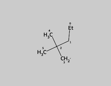 [CH2]CCC([CH2])(C)C